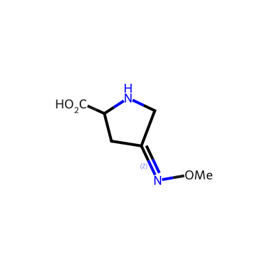 CO/N=C1\CNC(C(=O)O)C1